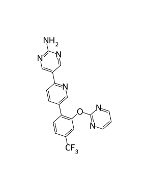 Nc1ncc(-c2ccc(-c3ccc(C(F)(F)F)cc3Oc3ncccn3)cn2)cn1